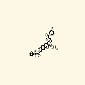 COC(=O)C(Cc1ccc(CNC(=O)C(F)(F)c2cccs2)cc1)c1nc(C(=O)N2CCCC(F)(F)C2)co1